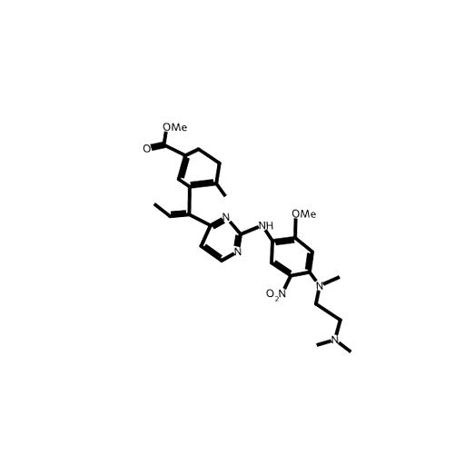 C/C=C(\C1=C(C)CCC(C(=O)OC)=C1)c1ccnc(Nc2cc([N+](=O)[O-])c(N(C)CCN(C)C)cc2OC)n1